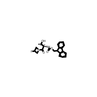 C[C@@H](O)[C@@H](NC(=O)OCC1c2ccccc2-c2ccccc21)C(=O)N1CC(F)C1